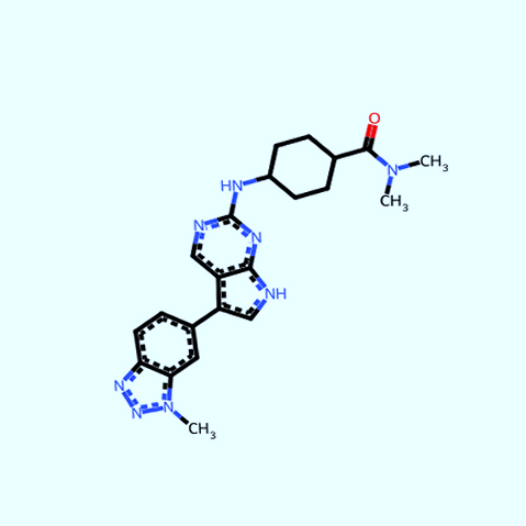 CN(C)C(=O)C1CCC(Nc2ncc3c(-c4ccc5nnn(C)c5c4)c[nH]c3n2)CC1